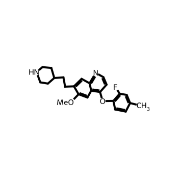 COc1cc2c(Oc3ccc(C)cc3F)ccnc2cc1CCC1CCNCC1